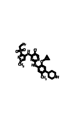 Cc1cc(Nc2ncc(Cl)c(Nc3cn(C)nc3S(=O)(=O)CC(C)C)n2)c(OC2CC2)cc1C1CCNCC1